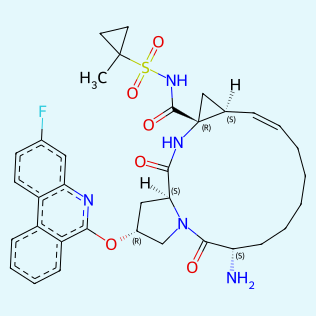 CC1(S(=O)(=O)NC(=O)[C@@]23C[C@H]2C=CCCCCC[C@H](N)C(=O)N2C[C@H](Oc4nc5cc(F)ccc5c5ccccc45)C[C@H]2C(=O)N3)CC1